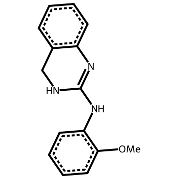 COc1ccccc1NC1=Nc2ccccc2CN1